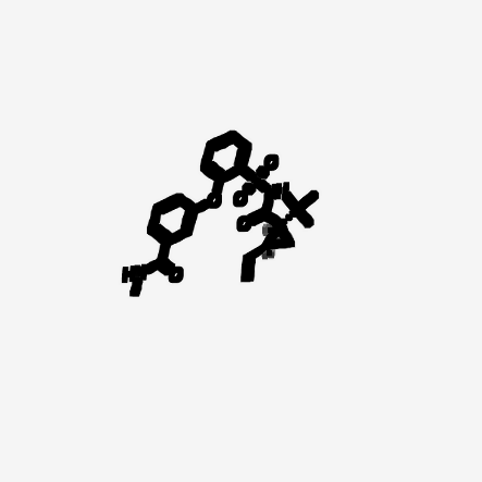 C=C[C@@H]1C[C@@]1(C(=O)NS(=O)(=O)c1ccccc1Oc1cccc(C(=O)NC)c1)C(C)(C)C